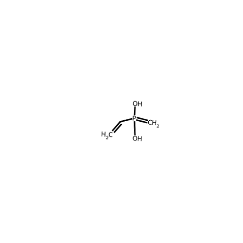 C=CP(=C)(O)O